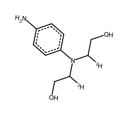 [2H]C(CO)N(c1ccc(N)cc1)C([2H])CO